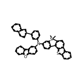 C[Si]1(C)c2cc(N(c3cccc(-c4ccc5ccccc5c4)c3)c3ccc4oc5ccccc5c4c3)ccc2-c2c1ccc1c2sc2ccccc21